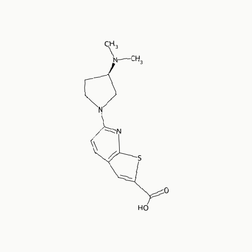 CN(C)[C@@H]1CCN(c2ccc3cc(C(=O)O)sc3n2)C1